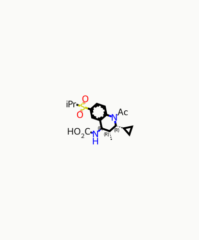 CC(=O)N1c2ccc(S(=O)(=O)C(C)C)cc2[C@H](NC(=O)O)[C@@H](C)[C@H]1C1CC1